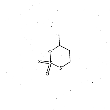 CC1CCSS(=O)(=S)O1